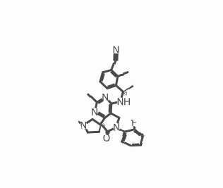 Cc1nc(N[C@H](C)c2cccc(C#N)c2C)c2c(n1)[C@]1(CCN(C)C1)C(=O)N(c1ccccc1F)C2